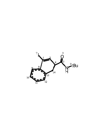 CC(C)(C)NC(=O)C1C=C(I)c2ccccc2C1